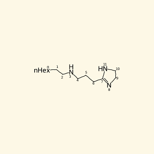 CCCCCCCCNCCCC1=NCCN1